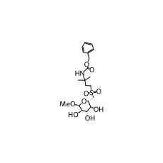 CO[C@H]1O[C@H](CS(=O)(=O)CCC(C)(C)NC(=O)OCc2ccccc2)[C@@H](O)[C@H](O)[C@H]1O